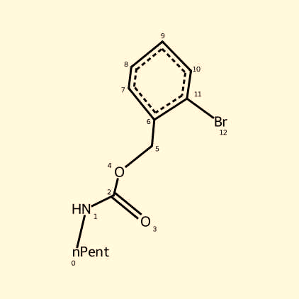 CCCCCNC(=O)OCc1ccccc1Br